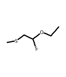 CCOC([S])CSC